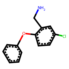 NCc1cc(Cl)ccc1Oc1ccccc1